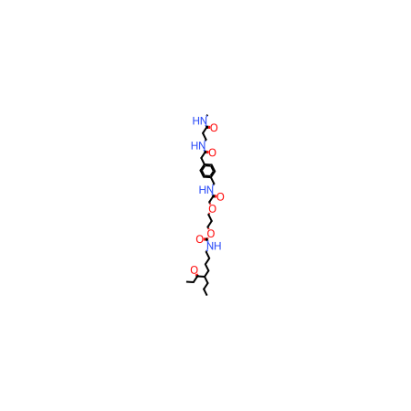 CCCC(CCCCNC(=O)OCCCOCC(=O)NCc1ccc(CC(=O)NCCC(=O)NC)cc1)C(=O)CC